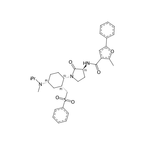 Cc1oc(-c2ccccc2)cc1C(=O)N[C@H]1CCN([C@H]2CC[C@@H](N(C)C(C)C)C[C@H]2CS(=O)(=O)c2ccccc2)C1=O